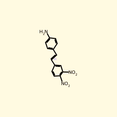 Nc1ccc(/C=C/c2ccc([N+](=O)[O-])c([N+](=O)[O-])c2)cc1